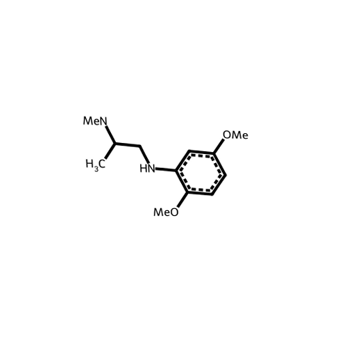 CNC(C)CNc1cc(OC)ccc1OC